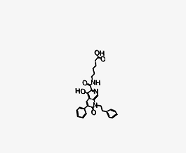 O=C(O)CCCCCNC(=O)c1ncc2c(cc(-c3ccccc3)c(=O)n2CCc2ccccc2)c1O